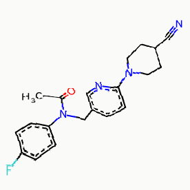 CC(=O)N(Cc1ccc(N2CCC(C#N)CC2)nc1)c1ccc(F)cc1